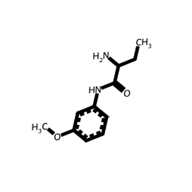 CCC(N)C(=O)Nc1[c]ccc(OC)c1